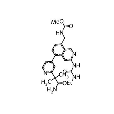 CCNC(=O)Nc1cc2c(-c3ccnc(C(C)(C)C(N)=O)c3)ccc(CNC(=O)OC)c2cn1